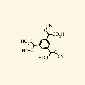 N#COC(C(=O)O)c1cc(C(OC#N)C(=O)O)cc(C(OC#N)C(=O)O)c1